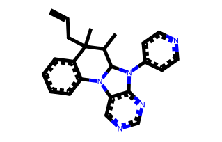 C=CCC1(C)c2ccccc2N2c3cncnc3N(c3ccncc3)C2C1C